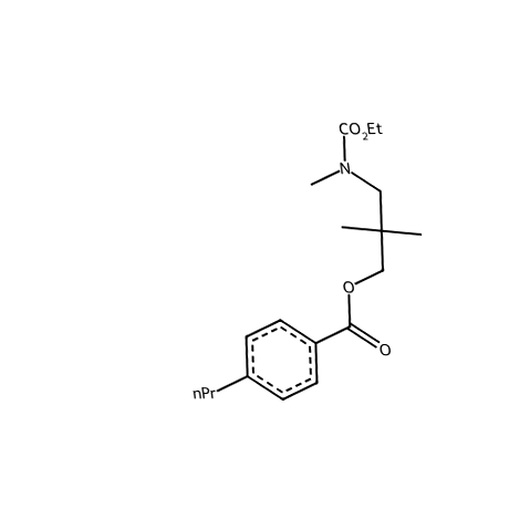 CCCc1ccc(C(=O)OCC(C)(C)CN(C)C(=O)OCC)cc1